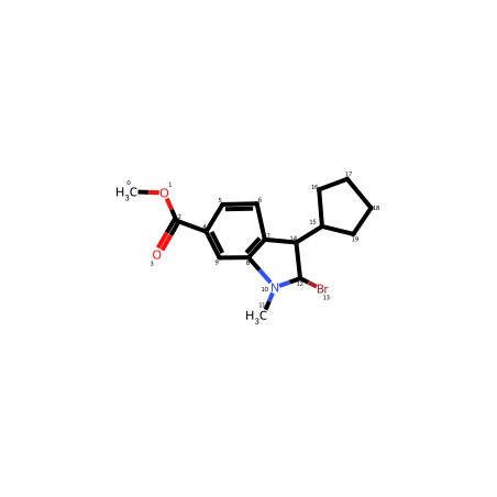 COC(=O)c1ccc2c(c1)N(C)C(Br)C2C1CCCC1